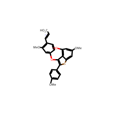 COc1ccc(-c2sc3cc(OC)cc(O)c3c2Oc2ccc(/C=C/C(=O)O)c(OC)c2)cc1